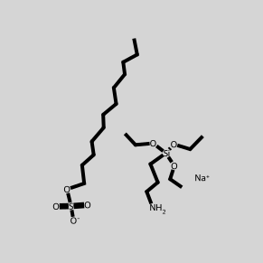 CCCCCCCCCCCCOS(=O)(=O)[O-].CCO[Si](CCCN)(OCC)OCC.[Na+]